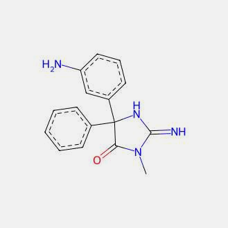 CN1C(=N)NC(c2ccccc2)(c2cccc(N)c2)C1=O